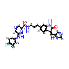 O=C1Nc2cc(/C=C/CNC(=O)c3cncc(Nc4ccc(F)c(F)c4)n3)ccc2C1=Cc1cnc[nH]1